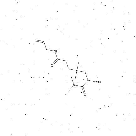 C=CCNC(=O)CSC(C)(C)CC(C(=O)N(C)C)C(C)(C)C